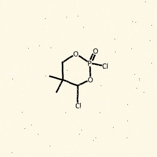 CC1(C)COP(=O)(Cl)OC1Cl